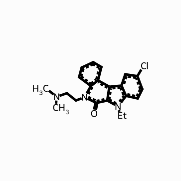 CCn1c2ccc(Cl)cc2c2c3ccccc3n(CCN(C)C)c(=O)c21